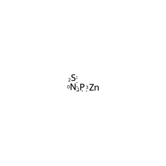 [N].[P].[S].[Zn]